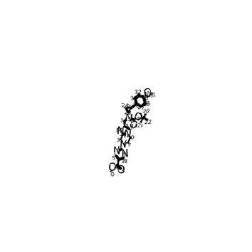 COC(=O)c1cnc(N2CCn3cc(CN(C(=O)OC(C)(C)C)C4CC4c4ccc(OC)cc4)nc3C2)nc1